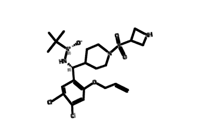 C=CCOc1cc(Cl)c(Cl)cc1[C@H](N[S@@+]([O-])C(C)(C)C)C1CCN(S(=O)(=O)C2CNC2)CC1